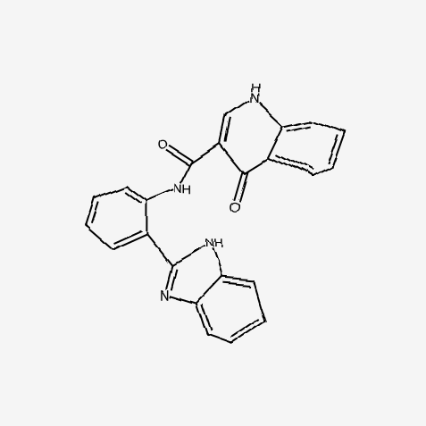 O=C(Nc1ccccc1-c1nc2ccccc2[nH]1)c1c[nH]c2ccccc2c1=O